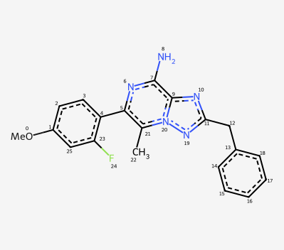 COc1ccc(-c2nc(N)c3nc(Cc4ccccc4)nn3c2C)c(F)c1